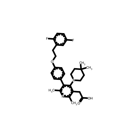 Cc1nc(C)c(-c2ccc(OCCc3cc(F)ccc3F)cc2)c(N2CCC(C)(C)CC2)c1CC(=O)O